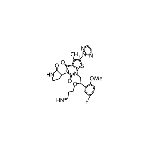 COc1ccc(F)cc1[C@H](Cn1c(=O)n([C@H]2CCNC2=O)c(=O)c2c(C)c(-n3nccn3)sc21)OCCC=N